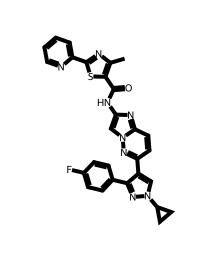 Cc1nc(-c2ccccn2)sc1C(=O)Nc1cn2nc(-c3cn(C4CC4)nc3-c3ccc(F)cc3)ccc2n1